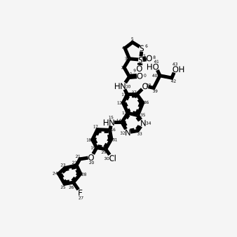 O=C(CC1CCSS1(=O)=O)Nc1cc2c(Nc3ccc(OCc4cccc(F)c4)c(Cl)c3)ncnc2cc1OCC(O)CO